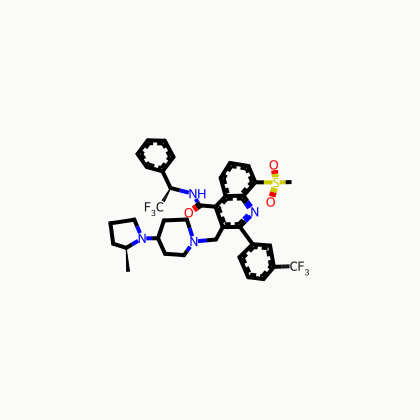 C[C@H]1CCCN1C1CCN(Cc2c(-c3cccc(C(F)(F)F)c3)nc3c(S(C)(=O)=O)cccc3c2C(=O)N[C@H](c2ccccc2)C(F)(F)F)CC1